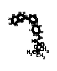 CC(C)(C)OC(=O)NC[C@H]1CC[C@H](c2nccc(-c3ccc4ccccc4c3)n2)CC1